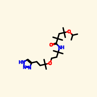 CC(C)OC(C)(C)CC(C)(C)C(=O)NC(C)(C)CCOC(C)(C)CCc1c[nH]nn1